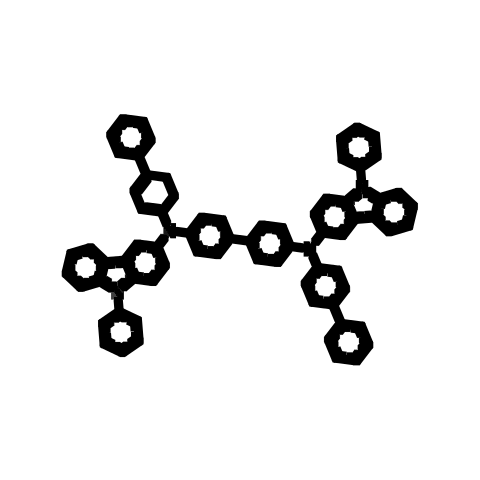 C1=C(c2ccccc2)CCC(N(c2ccc(-c3ccc(N(c4ccc(-c5ccccc5)cc4)c4ccc5c(c4)c4ccccc4n5-c4ccccc4)cc3)cc2)c2ccc3c(c2)c2ccccc2n3-c2ccccc2)=C1